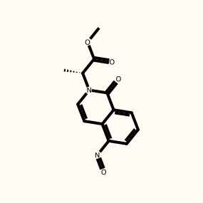 COC(=O)[C@@H](C)n1ccc2c(N=O)cccc2c1=O